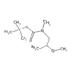 COC(C)CN(C)C(=O)OC(C)(C)C